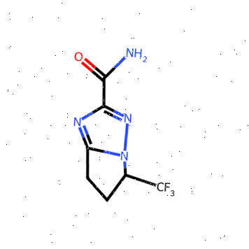 NC(=O)c1nc2n(n1)C(C(F)(F)F)CC2